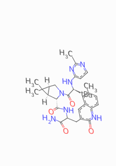 Cc1ccc2[nH]c(=O)c(CC(NC(=O)[C@@H]3[C@@H]4[C@H](CN3C(=O)[C@@H](Nc3ccnc(C)n3)C(C)(C)C)C4(C)C)C(N)=O)cc2c1